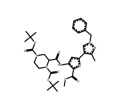 COC(=O)c1sc(-c2cn(Cc3ccccc3)nc2C)cc1NC(=O)C1CN(C(=O)OC(C)(C)C)CCN1C(=O)OC(C)(C)C